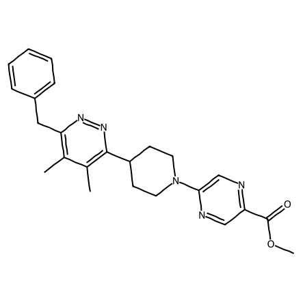 COC(=O)c1cnc(N2CCC(c3nnc(Cc4ccccc4)c(C)c3C)CC2)cn1